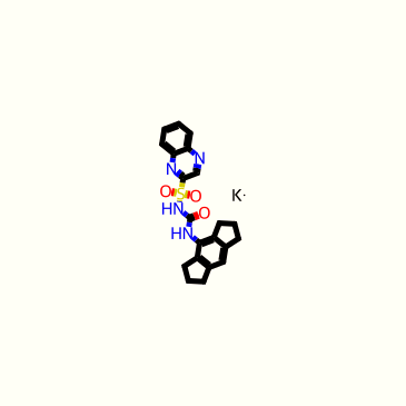 O=C(Nc1c2c(cc3c1CCC3)CCC2)NS(=O)(=O)c1cnc2ccccc2n1.[K]